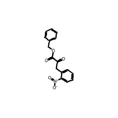 O=C(Cc1ccccc1[N+](=O)[O-])C(=O)OCc1ccccc1